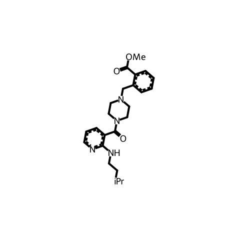 COC(=O)c1ccccc1CN1CCN(C(=O)c2cccnc2NCCC(C)C)CC1